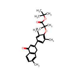 Cc1ccc2c(c1)CC(c1cc(C)c(OC(C)(C)C(=O)OC(C)(C)C)c(C)c1)=CC2=O